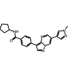 Cn1cc(-c2cnc3c(-c4ccc(C(=O)NC5CCCC5)cc4)cnn3c2)cn1